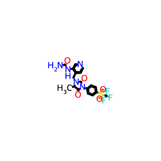 CC1C(=O)N(c2ccc(S(=O)(=O)C(F)(F)F)cc2)C(=O)N1Cc1ccncc1NC(N)=O